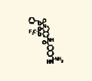 N=C(N)c1ccc2cc(C(=O)Nc3ccc4c(c3)CCN(C(=O)OCc3ccccc3)C4OC(=O)C(F)(F)F)ccc2c1